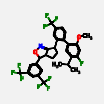 COc1cc(F)c(C(C)C)cc1-c1ccc(C(F)(F)F)cc1C1CCC2C1=NOC2c1cc(C(F)(F)F)cc(C(F)(F)F)c1